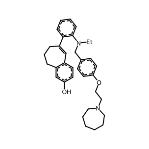 CCN(Cc1ccc(OCCN2CCCCCC2)cc1)c1ccccc1C1=Cc2ccc(O)cc2CCC1